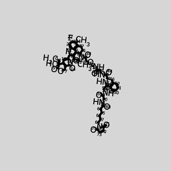 CC[C@@]1(O)C(=O)OCc2c1cc1n(c2=O)Cc2c-1nc1cc(F)c(C)c3c1c2[C@@H](N(C(C)=O)C(=O)COCNC(=O)CNC(=O)[C@H](Cc1ccccc1)NC(=O)CNC(=O)CNC(=O)CCCCCN1C(=O)C=CC1=O)CC3